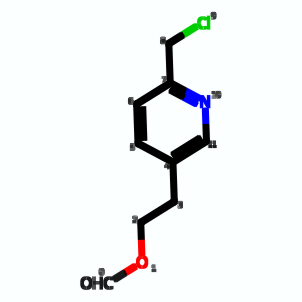 O=COCCc1ccc(CCl)nc1